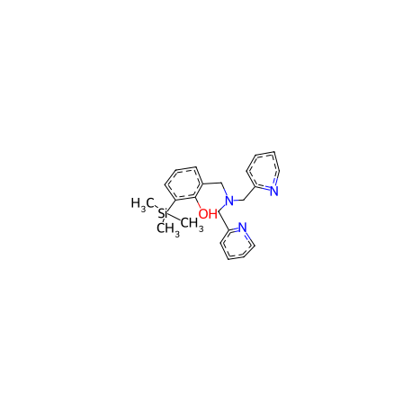 C[Si](C)(C)c1cccc(CN(Cc2ccccn2)Cc2ccccn2)c1O